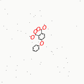 COC(=O)c1ccc(Oc2ccccc2)cc1C(=O)OC